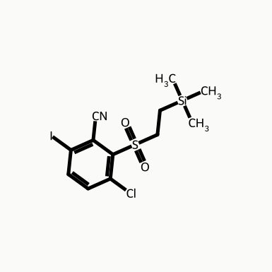 C[Si](C)(C)CCS(=O)(=O)c1c(Cl)ccc(I)c1C#N